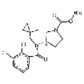 CC1(CN(C(=O)c2cccc(Cl)c2Cl)[C@H]2CCN(C(=O)OC(C)(C)C)C2)CC1